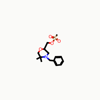 CC1(C)COC(COS(C)(=O)=O)CN1Cc1ccccc1